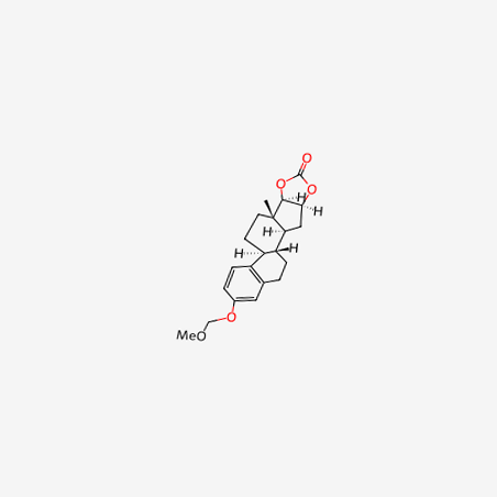 COCOc1ccc2c(c1)CC[C@@H]1[C@@H]2CC[C@@]2(C)[C@H]1C[C@@H]1OC(=O)O[C@@H]12